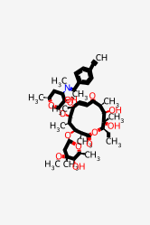 C#Cc1ccc(CN(C)[C@H]2C[C@@H](C)O[C@@H](O[C@@H]3[C@@H](C)[C@H](O[C@H]4C[C@@](C)(OC)[C@@H](O)[C@H](C)O4)[C@@H](C)C(=O)O[C@H](CC)[C@@](C)(O)[C@H](O)[C@@H](C)C(=O)/C=C/[C@@]3(C)OC)[C@H]2O)cc1